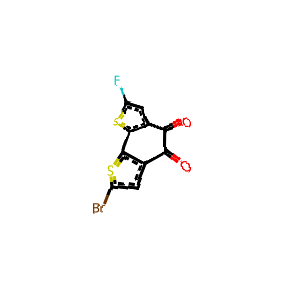 O=C1C(=O)c2cc(Br)sc2-c2sc(F)cc21